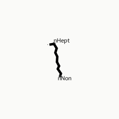 [CH2]C(CCCCCCC)CCCCCCCCCCCCCCCC